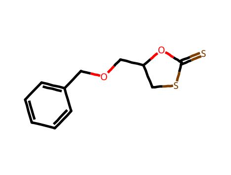 S=C1OC(COCc2ccccc2)CS1